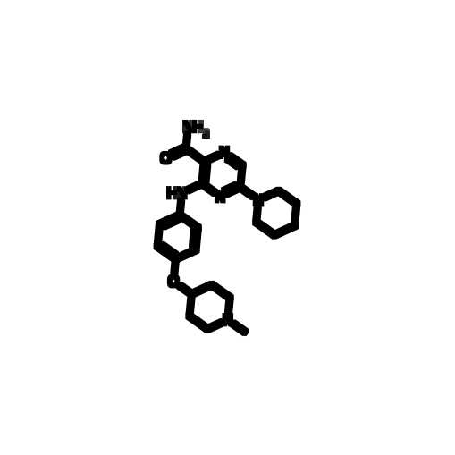 CN1CCC(Oc2ccc(Nc3nc(N4CCCCC4)cnc3C(N)=O)cc2)CC1